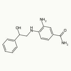 NC(=O)c1ccc(NCC(O)c2ccccc2)c(N)c1